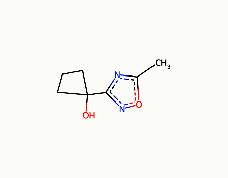 Cc1nc(C2(O)CCC2)no1